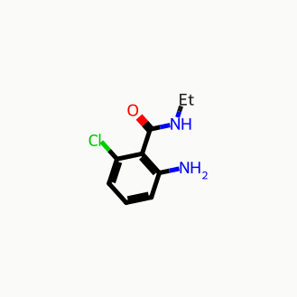 CCNC(=O)c1c(N)cccc1Cl